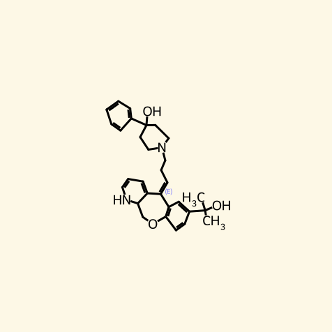 CC(C)(O)c1ccc2c(c1)/C(=C/CCN1CCC(O)(c3ccccc3)CC1)C1=CC=CNC1CO2